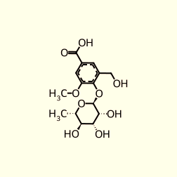 COc1cc(C(=O)O)cc(CO)c1O[C@@H]1O[C@@H](C)[C@H](O)[C@@H](O)[C@H]1O